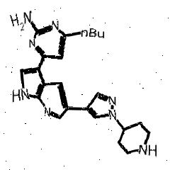 CCCCc1cc(-c2c[nH]c3ncc(-c4cnn(C5CCNCC5)c4)cc23)nc(N)n1